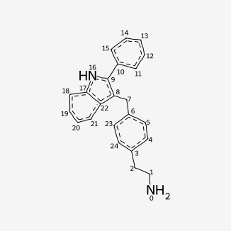 NCCc1ccc(Cc2c(-c3ccccc3)[nH]c3ccccc23)cc1